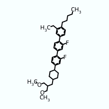 CCCCCc1ccc(-c2ccc(-c3ccc(C4CCC(CC(COC)COC)CC4)cc3F)cc2F)cc1CC